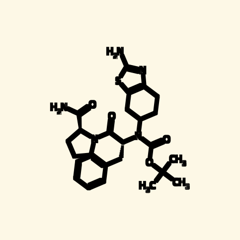 CC(C)(C)OC(=O)N(C1CCc2nc(N)sc2C1)[C@H](Cc1ccccc1)C(=O)N1CCC[C@H]1C(N)=O